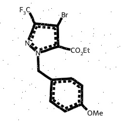 CCOC(=O)c1c(Br)c(C(F)(F)F)nn1Cc1ccc(OC)cc1